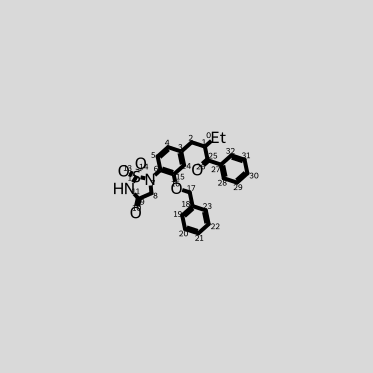 CCC(Cc1ccc(N2CC(=O)NS2(=O)=O)c(OCc2ccccc2)c1)C(=O)c1ccccc1